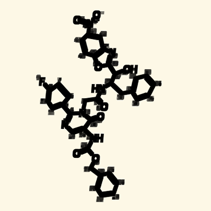 O=C(Cn1c(-c2ccc(F)cc2)ncc(NC(=O)OCc2ccccc2)c1=O)NC(Cc1ccccc1)C(O)c1nc2cc([N+](=O)[O-])ccc2o1